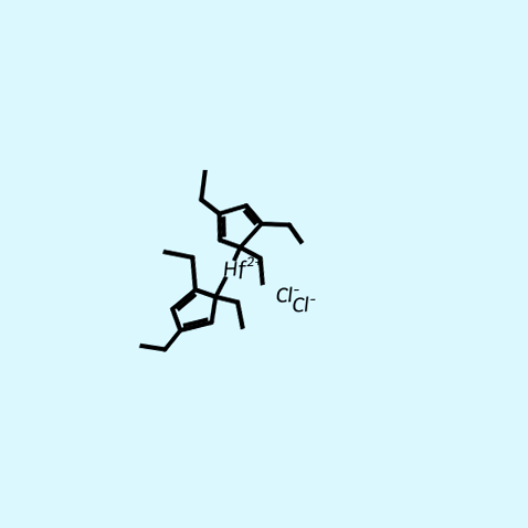 CCC1=C[C](CC)([Hf+2][C]2(CC)C=C(CC)C=C2CC)C(CC)=C1.[Cl-].[Cl-]